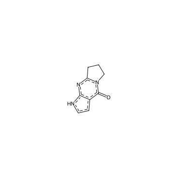 O=c1c2cc[nH]c2nc2n1CCC2